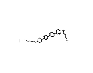 CCCCCCCC1CCC(c2ccc(-c3ccc(-c4ccc(OC(C)CCCCCC)cc4)c(Cl)c3)cc2)CC1